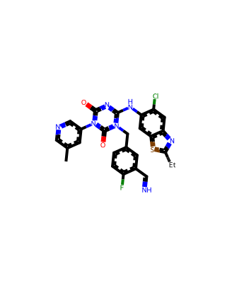 CCc1nc2cc(Cl)c(Nc3nc(=O)n(-c4cncc(C)c4)c(=O)n3Cc3ccc(F)c(C=N)c3)cc2s1